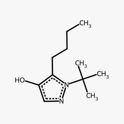 CCCCc1c(O)cnn1C(C)(C)C